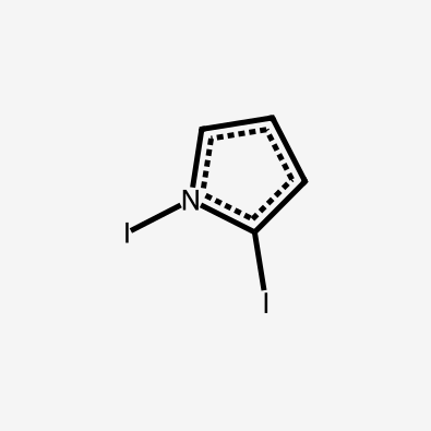 Ic1cccn1I